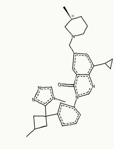 CC1CC(c2cccc(-n3cnc4c(C5CC5)cc(CN5CCC[C@H](C)C5)cc4c3=O)c2)(c2nncn2C)C1